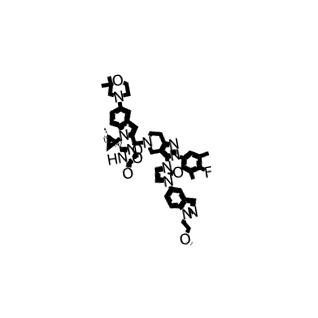 COCCn1ncc2cc(-n3ccn(-c4c5c(nn4-c4cc(C)c(F)c(C)c4)CCN(C(=O)c4cc6cc(N7CCOC(C)(C)C7)ccc6n4[C@@]4(c6noc(=O)[nH]6)C[C@@H]4C)C5)c3=O)ccc21